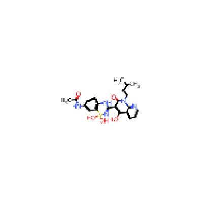 CC(=O)Nc1ccc2c(c1)S(O)(O)N=C(c1c(O)c3cccnc3n(CCC(C)C)c1=O)N2